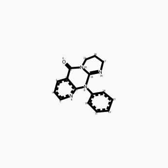 O=C1c2cccnc2N(c2ccccc2)C2=NCCCN12